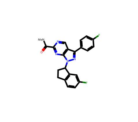 CNC(=O)c1ncc2c(-c3ccc(F)cc3)nn(C3CCc4ccc(F)cc43)c2n1